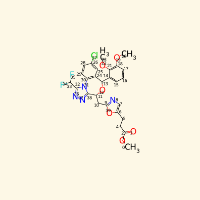 COC(=O)CCc1cnc(CC2OC(c3cccc(OC)c3OC)c3cc(Cl)ccc3-n3c(C(F)F)nnc32)o1